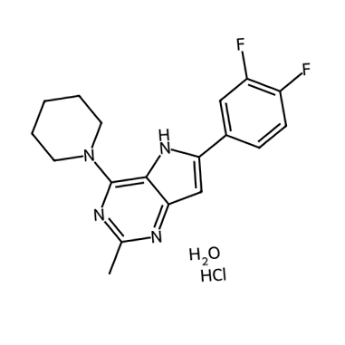 Cc1nc(N2CCCCC2)c2[nH]c(-c3ccc(F)c(F)c3)cc2n1.Cl.O